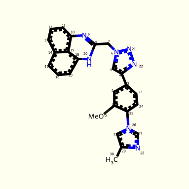 COc1cc(-c2cn(CC3=Nc4cccc5cccc(c45)N3)nn2)ccc1-n1cnc(C)c1